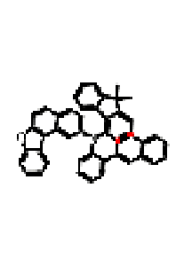 CC1(C)c2ccccc2-c2c(N(c3ccc4ccc5oc6ccccc6c5c4c3)c3ccccc3-c3ccc4ccccc4c3)cccc21